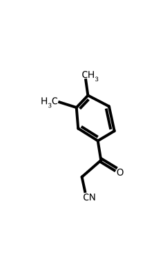 Cc1ccc(C(=O)CC#N)cc1C